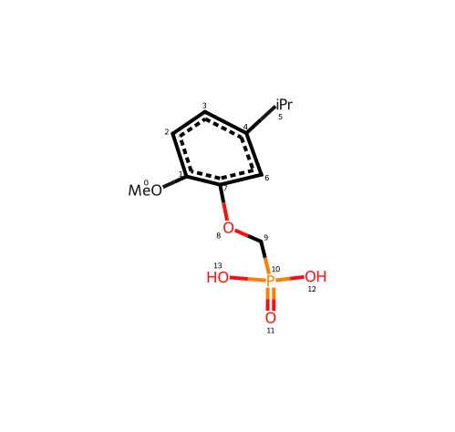 COc1ccc(C(C)C)cc1OCP(=O)(O)O